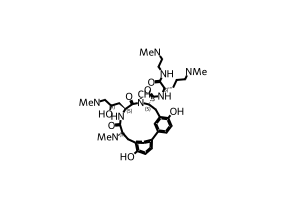 CNCCC[C@H](NC(=O)[C@@H]1Cc2cc(ccc2O)-c2ccc(O)c(c2)C[C@H](NC)C(=O)N[C@@H](C[C@@H](O)CNC)C(=O)N1C)C(=O)NCCNC